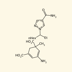 CC1(C(=O)O)C=C(N)C=C(C(=O)O)C1.CCCCCCC(CC)n1cc(C(N)=O)cn1